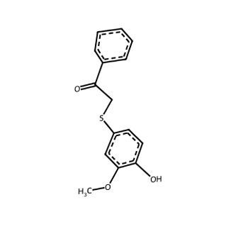 COc1cc(SCC(=O)c2ccccc2)ccc1O